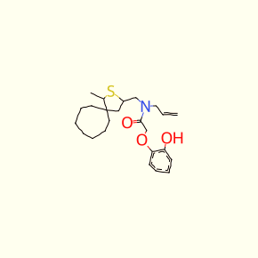 C=CCN(CC1CC2(CCCCCCC2)C(C)S1)C(=O)COc1ccccc1O